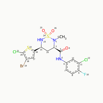 CN1[C@@H](C(=O)Nc2ccc(F)c(Cl)c2)C[C@@H](c2cc(Br)c(Cl)s2)NS1(=O)=O